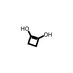 OC1=C(O)CC1